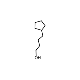 OCCCC[C]1CCCC1